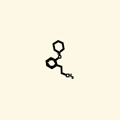 CCCc1ccccc1ON1CCCCC1